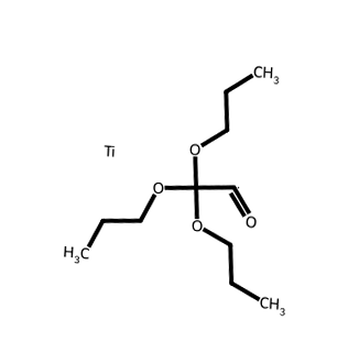 CCCOC([C]=O)(OCCC)OCCC.[Ti]